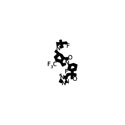 Cn1cnnc1[C@@H](F)C1(c2cccc(N3Cc4c(cc(CN5CC(C)(CF)C5)cc4C(F)(F)F)C3=O)c2)COC1